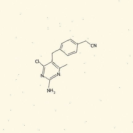 Cc1nc(N)nc(Cl)c1Cc1ccc(CC#N)cc1